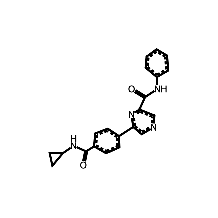 O=C(NC1CC1)c1ccc(-c2cncc(C(=O)Nc3ccccc3)n2)cc1